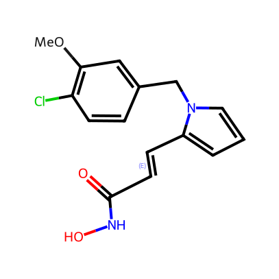 COc1cc(Cn2cccc2/C=C/C(=O)NO)ccc1Cl